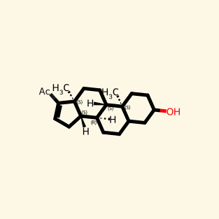 CC(=O)C1=CC[C@H]2[C@@H]3CCC4CC(O)CC[C@]4(C)[C@H]3CC[C@]12C